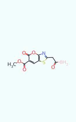 BC(=O)Cc1nc2oc(=O)c(C(=O)OC)cc2s1